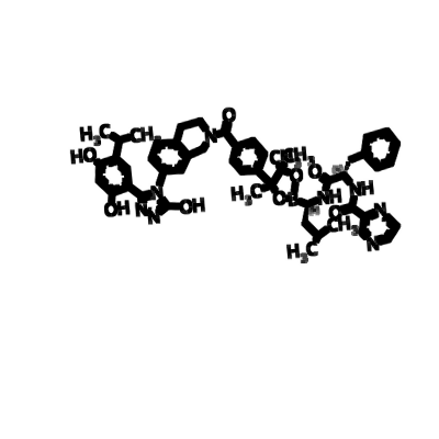 CC(C)C[C@H](NC(=O)[C@H](Cc1ccccc1)NC(=O)c1cnccn1)B1OC(C)(C)C(C)(c2ccc(C(=O)N3CCc4ccc(-n5c(O)nnc5-c5cc(C(C)C)c(O)cc5O)cc4C3)cc2)O1